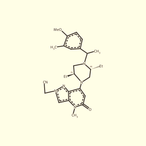 CC[C@H]1CN(C(C)c2ccc(OC)c(C)c2)[C@H](CC)CN1c1cc(=O)n(C)c2cn(CC#N)nc12